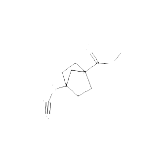 COC(=O)C12CCC(OC#N)(CC1)C2